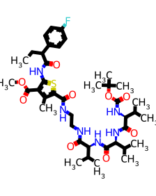 CCC(C(=O)Nc1sc(C(=O)NCCNC(=O)[C@@H](NC(=O)[C@@H](NC(=O)[C@@H](NC(=O)OC(C)(C)C)C(C)C)C(C)C)C(C)C)c(C)c1C(=O)OC)c1ccc(F)cc1